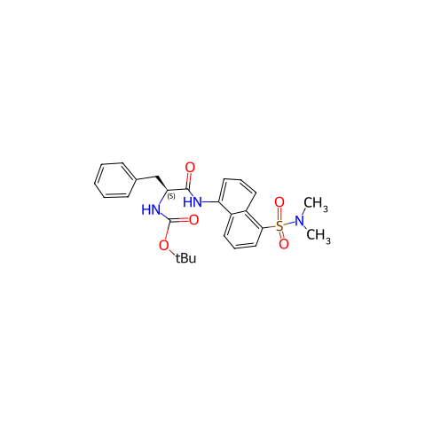 CN(C)S(=O)(=O)c1cccc2c(NC(=O)[C@H](Cc3ccccc3)NC(=O)OC(C)(C)C)cccc12